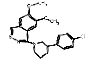 COc1cc2cnnc(N3CCCC(c4ccc(Cl)cc4)C3)c2cc1OC